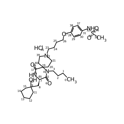 CCCCN1C(=O)[C@@H](CC2(O)CCCCC2)NC(=O)C12CCN(CCCCOc1ccc(NS(C)(=O)=O)cc1)CC2.Cl